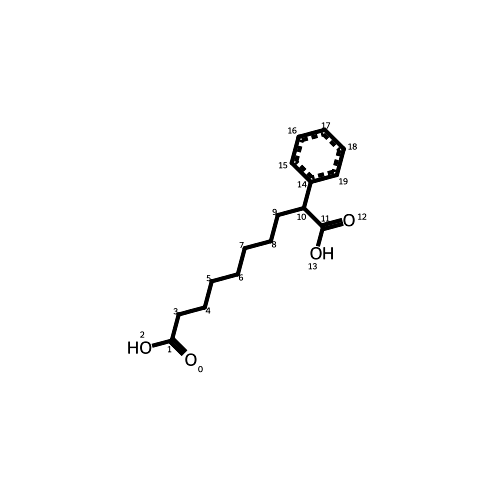 O=C(O)CCCCCCCC(C(=O)O)c1ccccc1